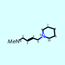 CNC/C=C/CN1CCCCC1